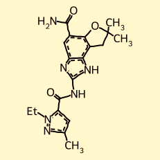 CCn1nc(C)cc1C(=O)Nc1nc2cc(C(N)=O)c3c(c2[nH]1)CC(C)(C)O3